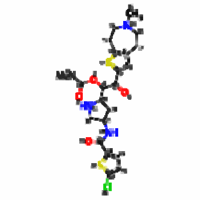 CNC(=O)OC(C(=O)c1cc2c(s1)CCN(C)CC2)C1CC(NC(=O)c2ccc(Cl)s2)CN1